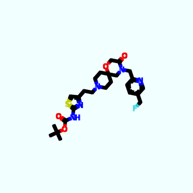 CC(C)(C)OC(=O)Nc1nc(CCN2CCC3(CC2)CN(Cc2ccc(CF)cn2)C(=O)CO3)cs1